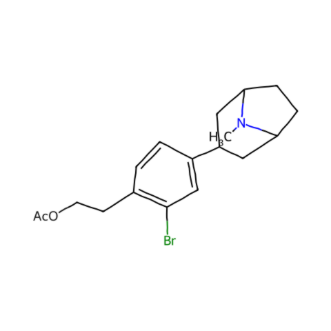 CC(=O)OCCc1ccc(C2CC3CCC(C2)N3C)cc1Br